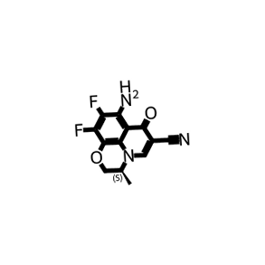 C[C@H]1COc2c(F)c(F)c(N)c3c(=O)c(C#N)cn1c23